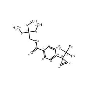 CCC(CO)(CO)COC(=O)c1ccc(C2(C(F)(F)F)C=N2)cc1